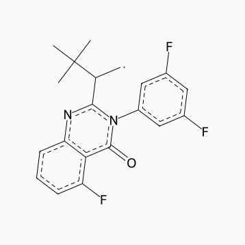 [CH2]C(c1nc2cccc(F)c2c(=O)n1-c1cc(F)cc(F)c1)C(C)(C)C